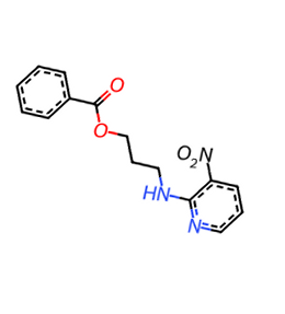 O=C(OCCCNc1ncccc1[N+](=O)[O-])c1ccccc1